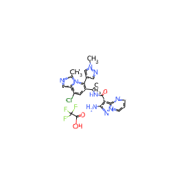 Cc1ncc2c(Cl)cc(C(C)NC(=O)c3c(N)nn4cccnc34)c(-c3cnn(C)c3)n12.O=C(O)C(F)(F)F